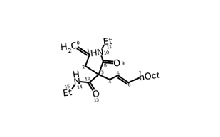 C=CCC(CC=CCCCCCCCC)(C(=O)NCC)C(=O)NCC